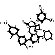 COc1ccc(-c2ccc(C(=O)O)cc2C)cc1-c1cnc(N2CCCCC2)nc1CN1C(=O)O[C@H](c2cc(C(F)(F)F)cc(C(F)(F)F)c2)C12CCC2